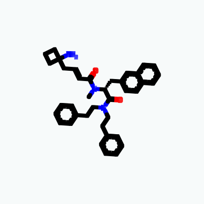 CN(C(=O)/C=C/CC1(N)CCC1)[C@H](Cc1ccc2ccccc2c1)C(=O)N(CCc1ccccc1)CCc1ccccc1